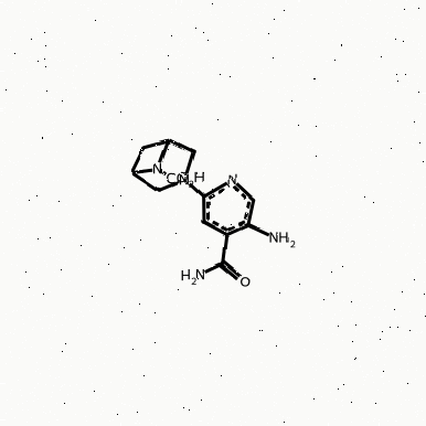 NC(=O)c1cc(N2CC3CC(C2)N3C(=O)O)ncc1N